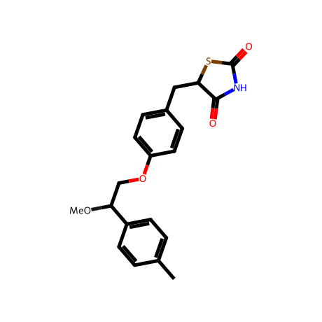 COC(COc1ccc(CC2SC(=O)NC2=O)cc1)c1ccc(C)cc1